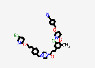 Cc1cc(/C=C/C(=O)N2CCN(Cc3ccc(/C=C/COc4ccc(Br)cn4)cc3)CC2)cc(Cl)c1Oc1ccc(OCc2ccc(C#N)cc2)cn1